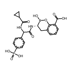 O=C(O)c1cccc2c1OB(O)[C@@H](NC(=O)C(NC(=O)C1CC1)c1ccc(P(=O)(O)O)cc1)C2